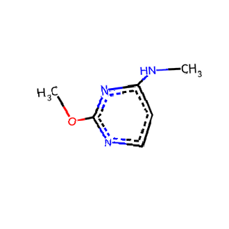 CNc1ccnc(OC)n1